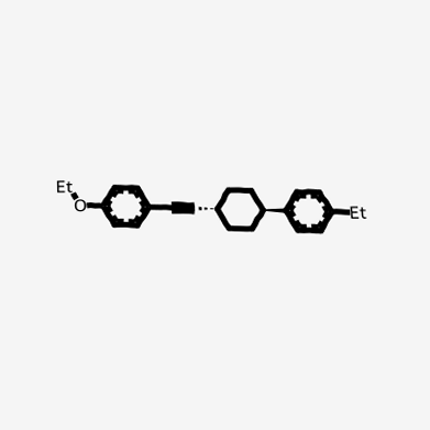 CCOc1ccc(C#C[C@H]2CC[C@H](c3ccc(CC)cc3)CC2)cc1